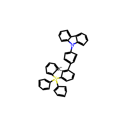 N#Cc1c(-c2ccc(-n3c4ccccc4c4ccccc43)cc2)cccc1S(c1ccccc1)(c1ccccc1)c1ccccc1